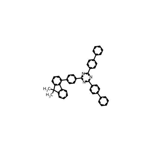 CC1(C)c2ccccc2-c2c(-c3ccc(-c4nc(-c5ccc(-c6ccccc6)cc5)nc(-c5ccc(-c6ccccc6)cc5)n4)cc3)cccc21